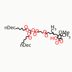 CCCCCCCCCCCCCCCC(=O)OCC(COC(=O)CCCCCCCCCCCCCCC)OC(=O)OCCCOC(=O)CC/C(C)=C/Cc1c(O)c2c(c(C)c1OC)COC2=O